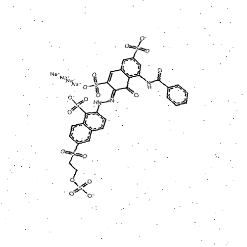 O=C(Nc1cc(S(=O)(=O)[O-])cc2c1C(=O)/C(=N/Nc1ccc3cc(S(=O)(=O)CCOS(=O)(=O)[O-])ccc3c1S(=O)(=O)[O-])C(S(=O)(=O)[O-])=C2)c1ccccc1.[Na+].[Na+].[Na+].[Na+]